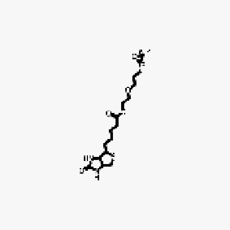 C[C@H]1O[C@H]1CCCOCCOC(=O)CCCCC1SCC2NC(=O)NC21